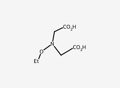 CCON(CC(=O)O)CC(=O)O